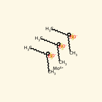 CCCCCCCCCCCCc1cccc(OP([O-])(=S)[S-])c1CCCCCCCCCCCC.CCCCCCCCCCCCc1cccc(OP([O-])(=S)[S-])c1CCCCCCCCCCCC.CCCCCCCCCCCCc1cccc(OP([O-])(=S)[S-])c1CCCCCCCCCCCC.[Mo+6]